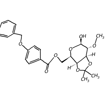 CO[C@@H]1[C@H]2OC(C)(C)O[C@H]2[C@@H](COC(=O)c2ccc(OCc3ccccc3)cc2)O[C@H]1O